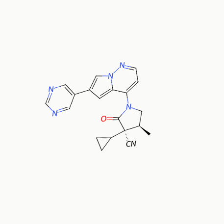 C[C@@H]1CN(c2ccnn3cc(-c4cncnc4)cc23)C(=O)[C@]1(C#N)C1CC1